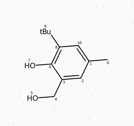 Cc1cc(CO)c(O)c(C(C)(C)C)c1